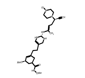 C#C[C@@H](C/C=C(\C)N[C@H]1NC=C(CCC2=C[C@H](OC)CC(C(=O)NOC)C2)CN1)N1CCN(CC)CC1